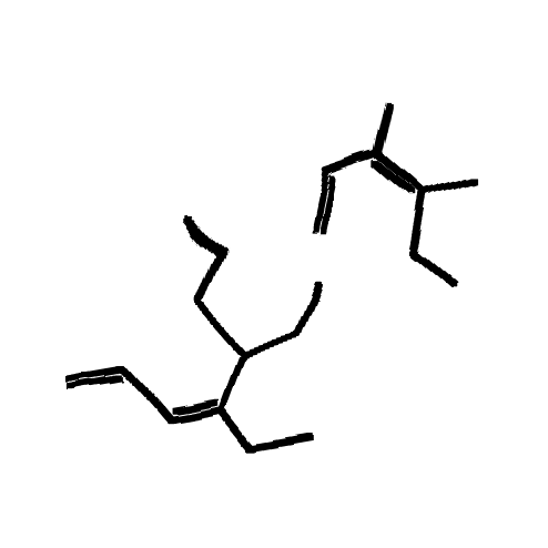 C=CC(C)=C(C)CC.C=CC=C(CC)C(CC)CCC